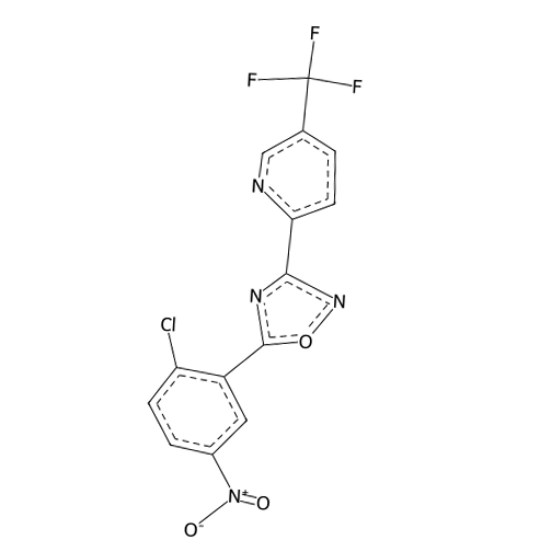 O=[N+]([O-])c1ccc(Cl)c(-c2nc(-c3ccc(C(F)(F)F)cn3)no2)c1